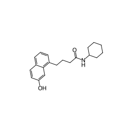 O=C(CCCc1cccc2ccc(O)cc12)NC1CCCCC1